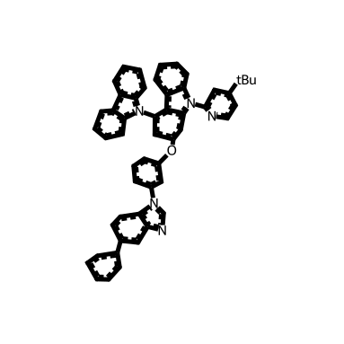 CC(C)(C)c1ccnc(-n2c3ccccc3c3c(-n4c5ccccc5c5ccccc54)cc(Oc4cccc(-n5cnc6cc(-c7ccccc7)ccc65)c4)cc32)c1